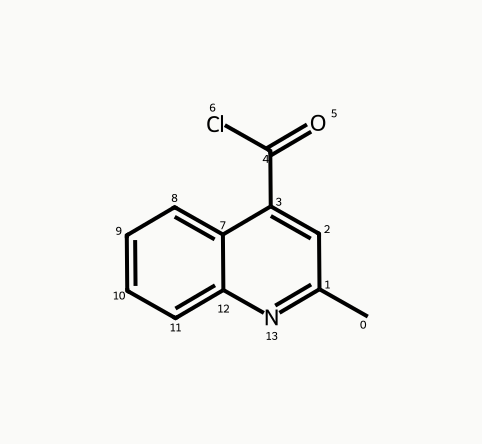 Cc1cc(C(=O)Cl)c2ccccc2n1